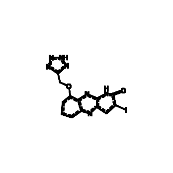 O=c1[nH]c2nc3c(OCc4nn[nH]n4)cccc3nc2cc1I